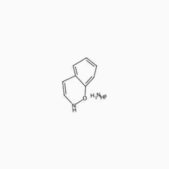 C1=Cc2ccccc2ON1.F.N